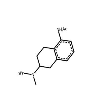 CCCN(C)C1CCc2c(cccc2NC(C)=O)C1